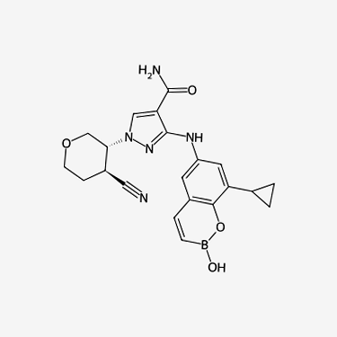 N#C[C@H]1CCOC[C@@H]1n1cc(C(N)=O)c(Nc2cc3c(c(C4CC4)c2)OB(O)C=C3)n1